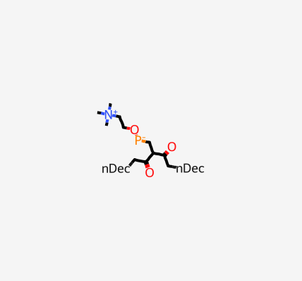 CCCCCCCCCCCC(=O)C(C[P-]OCC[N+](C)(C)C)C(=O)CCCCCCCCCCC